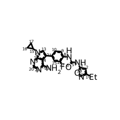 CCc1cc(NC(=O)Nc2ccc(-c3cn(C4CC4)c4ncnc(N)c34)cc2F)on1